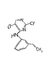 C=Cc1cccc(Nc2nc(Cl)ncc2Cl)c1